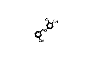 N#Cc1cccc(COc2ccc(O)c(Cl)c2)c1